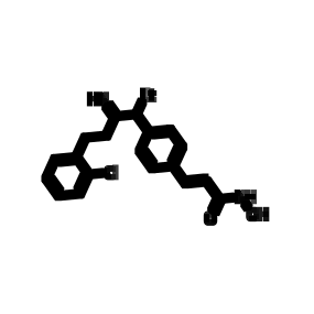 CCC(C(=N)CCc1ccccc1Cl)c1ccc(/C=C/C(=O)NO)cc1